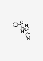 O=C(c1ccccc1)c1cnn2c(-c3ccncc3)ccnc12